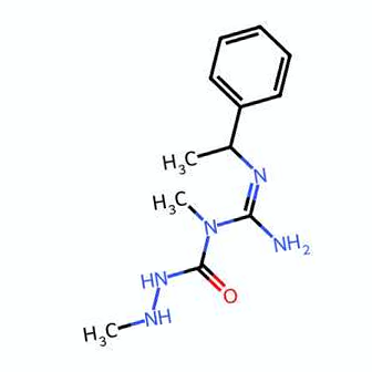 CNNC(=O)N(C)/C(N)=N\C(C)c1ccccc1